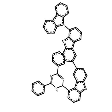 c1ccc(C2=NC(c3cccc4oc5ccc(-c6ccc7oc8c(-n9c%10ccccc%10c%10ccccc%109)cccc8c7c6)cc5c34)NC(c3ccccc3)=N2)cc1